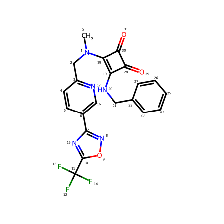 CN(Cc1ccc(-c2noc(C(F)(F)F)n2)cn1)c1c(NCc2ccccc2)c(=O)c1=O